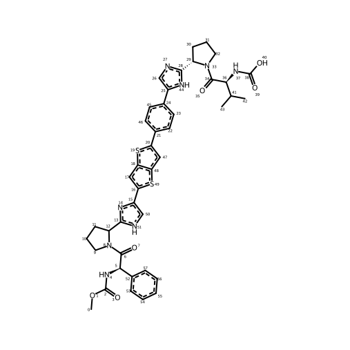 COC(=O)N[C@@H](C(=O)N1CCCC1c1nc(-c2cc3sc(-c4ccc(-c5cnc([C@@H]6CCCN6C(=O)[C@@H](NC(=O)O)C(C)C)[nH]5)cc4)cc3s2)c[nH]1)c1ccccc1